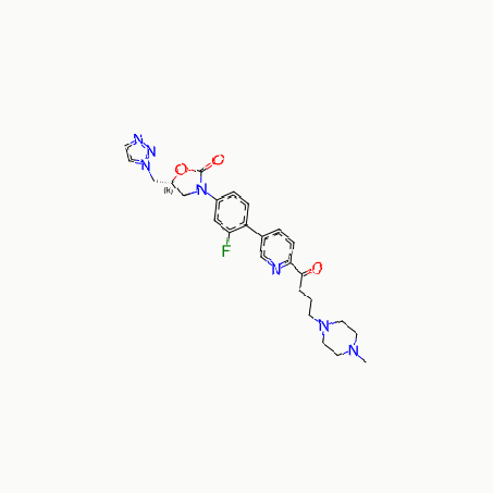 CN1CCN(CCCC(=O)c2ccc(-c3ccc(N4C[C@H](Cn5ccnn5)OC4=O)cc3F)cn2)CC1